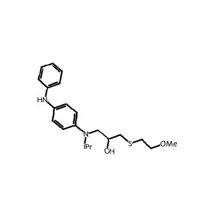 COCCSCC(O)CN(c1ccc(Nc2ccccc2)cc1)C(C)C